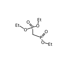 CCO[P](=O)CP(=O)(OCC)OCC